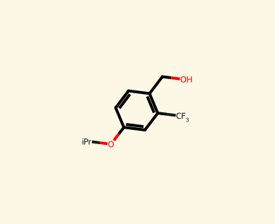 CC(C)Oc1ccc(CO)c(C(F)(F)F)c1